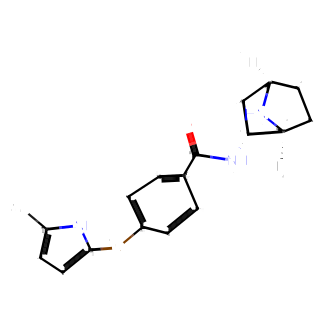 CC(=O)c1ccc(Sc2ccc(C(=O)N[C@@H]3C[C@H]4CC[C@@H]3N4)cc2)[nH]1